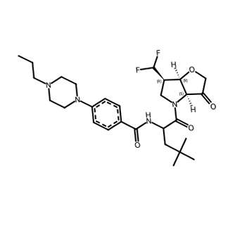 CCCN1CCN(c2ccc(C(=O)NC(CC(C)(C)C)C(=O)N3C[C@@H](C(F)F)[C@H]4OCC(=O)[C@H]43)cc2)CC1